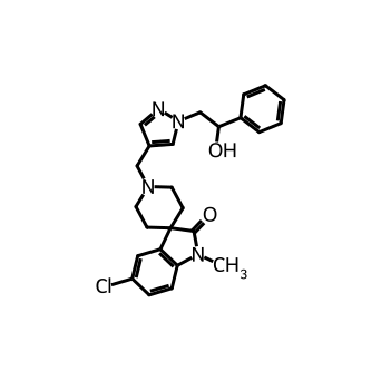 CN1C(=O)C2(CCN(Cc3cnn(CC(O)c4ccccc4)c3)CC2)c2cc(Cl)ccc21